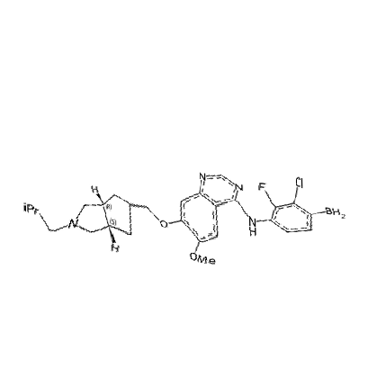 Bc1ccc(Nc2ncnc3cc(OCC4C[C@@H]5CN(CC(C)C)C[C@@H]5C4)c(OC)cc23)c(F)c1Cl